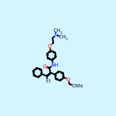 CCC(=C(C(=O)Nc1ccc(OCCN(C)C)cc1)c1ccc(OCOC)cc1)c1ccccc1